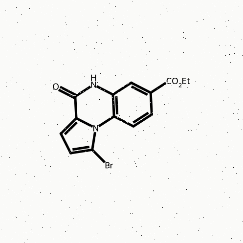 CCOC(=O)c1ccc2c(c1)[nH]c(=O)c1ccc(Br)n12